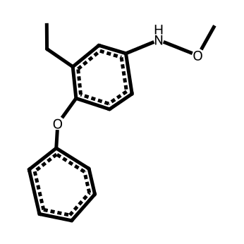 CCc1cc(NOC)ccc1Oc1ccccc1